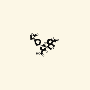 O=C(O)c1cn([C@H]2CC[C@H](N3CCOC3=O)CC2)c(=O)n([C@@H]2COCc3c2cccc3C(F)(F)F)c1=O